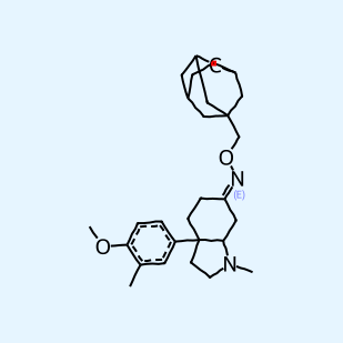 COc1ccc(C23CC/C(=N\OCC45CC6CCC(CC(C6)C4)C5)CC2N(C)CC3)cc1C